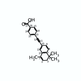 CC1=CCC(C)(C)c2ccc(C#Cc3ccc(C(=O)O)cc3)cc21